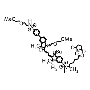 CCCCN1C(=CC=CC2=[N+](CCOCCOC)c3ccc(-c4ccc(S(=O)(=O)NCCOCCOC)cc4)cc3C2(C)C)C(C)(C)c2cc(S(=O)(=O)NC(C)CCCCC(=O)ON3C(=O)CCC3=O)ccc21